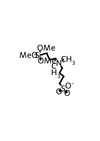 CO[Si](CCC[N+](C)(C)CCCCS(=O)(=O)[O-])(OC)OC